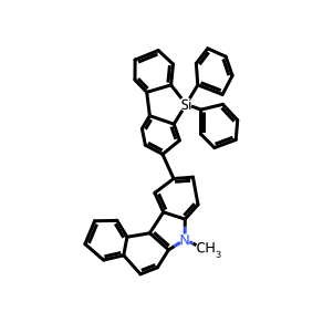 Cn1c2ccc(-c3ccc4c(c3)[Si](c3ccccc3)(c3ccccc3)c3ccccc3-4)cc2c2c3ccccc3ccc21